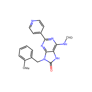 COc1ccccc1Cn1c(=O)[nH]c2c(N[C]=O)nc(-c3ccncc3)nc21